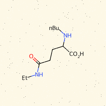 CCCCNC(CCC(=O)NCC)C(=O)O